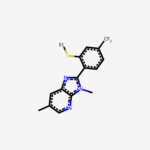 CCSc1cc(C(F)(F)F)ccc1-c1nc2cc(C)cnc2n1C